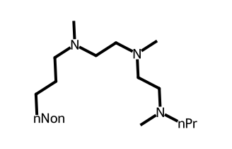 CCCCCCCCCCCCN(C)CCN(C)CCN(C)CCC